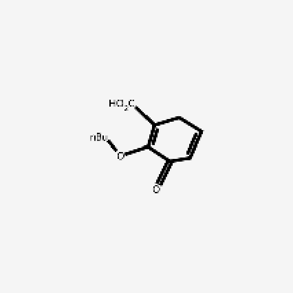 CCCCOC1=C(C(=O)O)CC=CC1=O